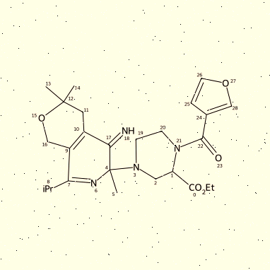 CCOC(=O)C1CN(C2(C)N=C(C(C)C)C3=C(CC(C)(C)OC3)C2=N)CCN1C(=O)c1ccoc1